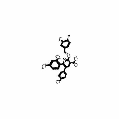 O=C(Cl)c1cc(-c2ccc(Cl)cc2)c(-c2ccc(Cl)cc2Cl)nc1OCc1ccc(F)c(F)c1